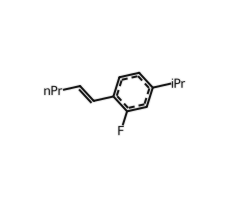 CCCC=Cc1ccc(C(C)C)cc1F